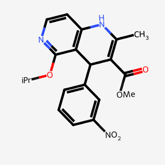 COC(=O)C1=C(C)Nc2ccnc(OC(C)C)c2C1c1cccc([N+](=O)[O-])c1